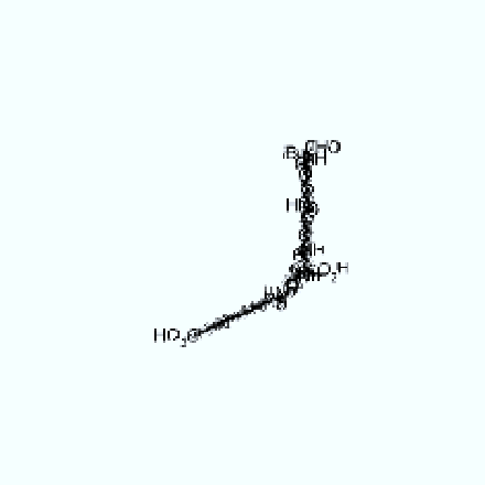 CC[C@@H](C)[C@@H](C=O)NC(=O)COCCOCCNC(=O)COCCOCCNC(=O)CCC(NC(=O)C1CCC(CNC(=O)CCCCCCCCCCCCCCCCCCC(=O)O)CC1)C(=O)O